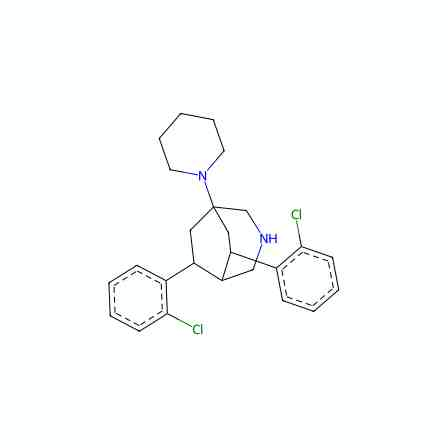 Clc1ccccc1C1CC2(N3CCCCC3)CNCC1C(c1ccccc1Cl)C2